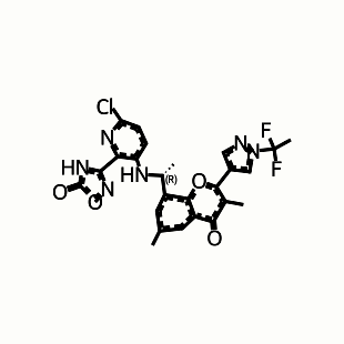 Cc1cc([C@@H](C)Nc2ccc(Cl)nc2-c2noc(=O)[nH]2)c2oc(-c3cnn(C(C)(F)F)c3)c(C)c(=O)c2c1